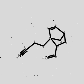 N#CCCC12C=CC(CC1C=O)C2